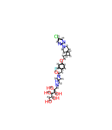 O=C(Cc1ccc(OCCC2CCC23CCN(c2ncc(Cl)cn2)CC3)cc1F)N1CC(CNC[C@H](O)[C@@H](O)[C@H](O)[C@H](O)CO)C1